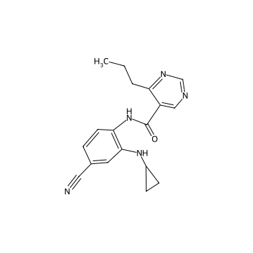 CCCc1ncncc1C(=O)Nc1ccc(C#N)cc1NC1CC1